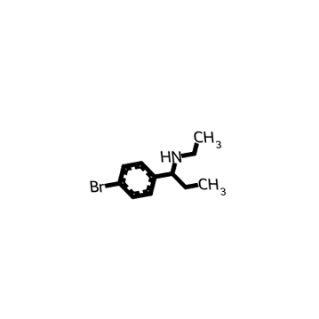 CCNC(CC)c1ccc(Br)cc1